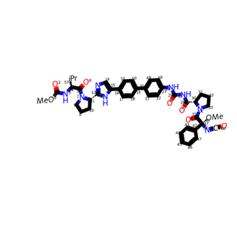 COC(=O)N[C@H](C(=O)N1CCC[C@H]1c1ncc(-c2ccc(-c3ccc(NC(=O)NC(=O)[C@@H]4CCCN4C(=O)[C@](N=C=O)(OC)c4ccccc4)cc3)cc2)[nH]1)C(C)C